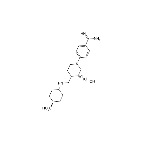 Cl.Cl.Cl.N=C(N)c1ccc(N2CCC(CN[C@H]3CC[C@H](C(=O)O)CC3)CC2)cc1